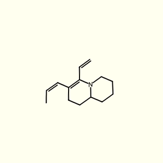 C=CC1=C(/C=C\C)CCC2CCCCN12